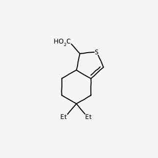 CCC1(CC)CCC2C(=CSC2C(=O)O)C1